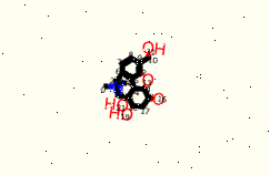 CN1CC[C@]23c4c5ccc(CO)c4OC2C(=O)C[C@@H](O)[C@@]3(O)C1C5